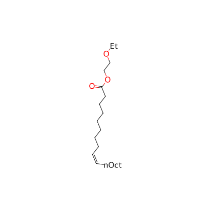 CCCCCCCC/C=C\CCCCCCCC(=O)OCCOCC